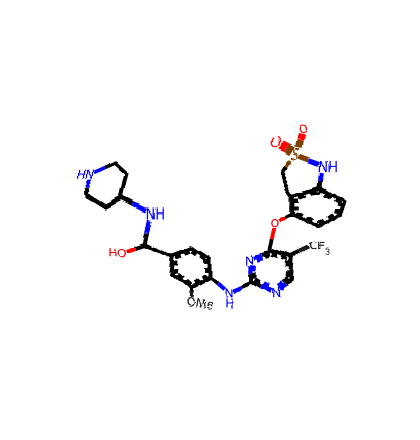 COc1cc(C(O)NC2CCNCC2)ccc1Nc1ncc(C(F)(F)F)c(Oc2cccc3c2CS(=O)(=O)N3)n1